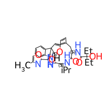 CCC(O)(CC)C(=O)N[C@H]1Cc2ccc3c(c2)C2(c4ccccc4N[C@H]2O3)c2oc(nc2-c2nc(C)co2)[C@H](C(C)C)NC1=O